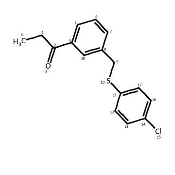 CCC(=O)c1cccc(CSc2ccc(Cl)cc2)c1